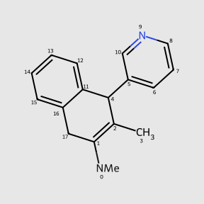 CNC1=C(C)C(c2cccnc2)c2ccccc2C1